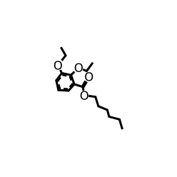 CCCCCCOC(=O)c1cccc(OCC)c1OCC